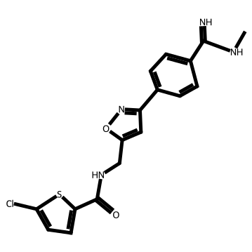 CNC(=N)c1ccc(-c2cc(CNC(=O)c3ccc(Cl)s3)on2)cc1